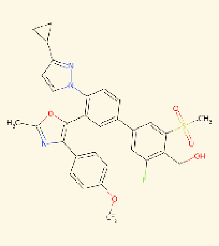 Cc1nc(-c2ccc(OC(F)(F)F)cc2)c(-c2cc(-c3cc(F)c(CO)c(S(C)(=O)=O)c3)ccc2-n2ccc(C3CC3)n2)o1